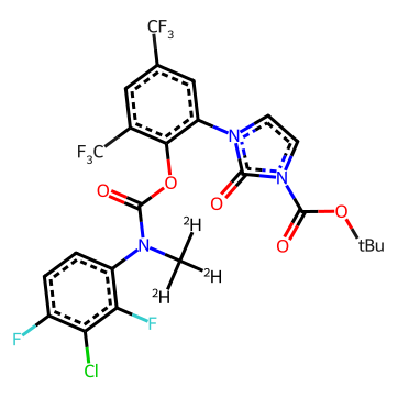 [2H]C([2H])([2H])N(C(=O)Oc1c(-n2ccn(C(=O)OC(C)(C)C)c2=O)cc(C(F)(F)F)cc1C(F)(F)F)c1ccc(F)c(Cl)c1F